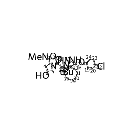 CNC(=O)[C@@H]1C[C@@H](O)CN1C(=O)[C@@H](N1NNC(COc2ccc(Cl)cc2)C12CCCCCCC2)C(C)(C)C